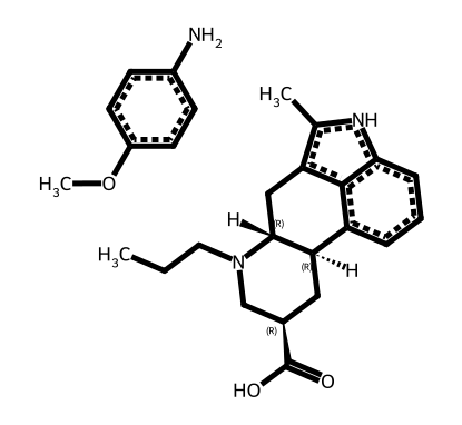 CCCN1C[C@H](C(=O)O)C[C@@H]2c3cccc4[nH]c(C)c(c34)C[C@H]21.COc1ccc(N)cc1